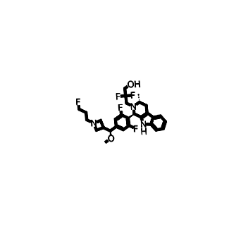 CO[C@H](c1cc(F)c([C@@H]2c3[nH]c4ccccc4c3C[C@@H](C)N2CC(F)(F)CO)c(F)c1)C1CN(CCCF)C1